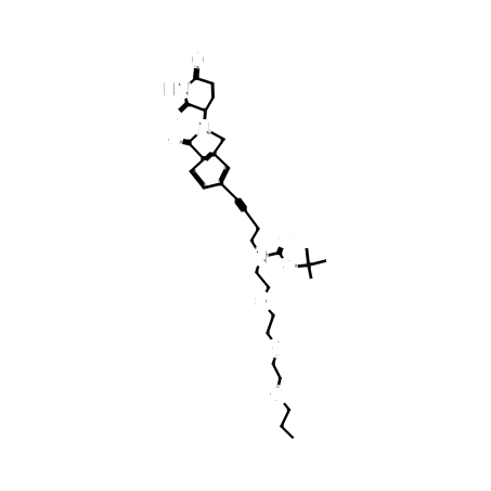 CCCOCCOCCOCCN(CCC#Cc1ccc2c(c1)CN(C1CCC(=O)NC1=O)C2=O)C(=O)OC(C)(C)C